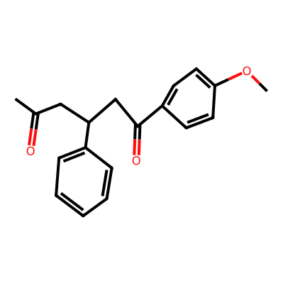 COc1ccc(C(=O)CC(CC(C)=O)c2ccccc2)cc1